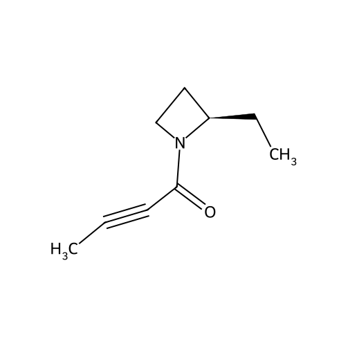 CC#CC(=O)N1CC[C@H]1CC